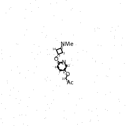 CN[C@H]1C[C@H](Oc2ccc(OCC(C)=O)cn2)C1